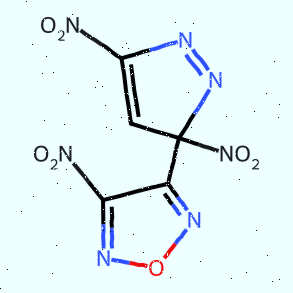 O=[N+]([O-])C1=CC(c2nonc2[N+](=O)[O-])([N+](=O)[O-])N=N1